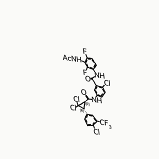 CC(=O)Nc1c(F)ccc(NC(=O)c2cc(NC(=O)[C@H]3[C@H](c4ccc(Cl)c(C(F)(F)F)c4)C3(Cl)Cl)ccc2Cl)c1F